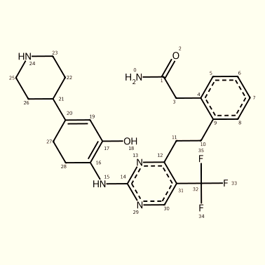 NC(=O)Cc1ccccc1CCc1nc(NC2=C(O)C=C(C3CCNCC3)CC2)ncc1C(F)(F)F